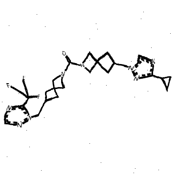 O=C(N1CC2(CC(Cn3ncnc3C(F)(F)F)C2)C1)N1CC2(CC(n3cnc(C4CC4)n3)C2)C1